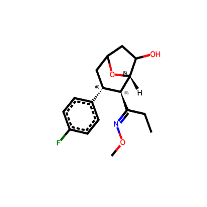 CCC(=NOC)[C@@H]1[C@@H]2OC(CC2O)C[C@H]1c1ccc(F)cc1